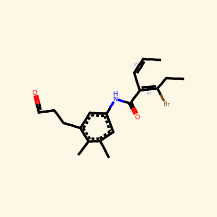 C/C=C\C(C(=O)Nc1cc(C)c(C)c(CCC=O)c1)=C(\Br)CC